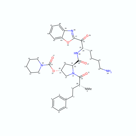 CN[C@H](CCc1ccccc1)C(=O)N1C[C@H](OC(=O)N2CCCCC2)C[C@H]1C(=O)N[C@@H](CCCCN)C(=O)c1nc2ccccc2o1